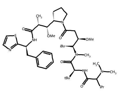 CC[C@H](C)[C@@H]([C@@H](CC(=O)N1CCC[C@H]1[C@H](OC)[C@@H](C)C(=O)N[C@@H](Cc1ccccc1)c1nccs1)OC)N(C)C(=O)[C@@H](NC(=O)C(C(C)C)N(C)C)C(C)(C)C